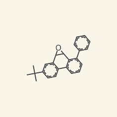 CC(C)(C)c1ccc2c(c1)C1OC1c1c(-c3ccccc3)cccc1-2